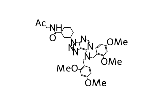 COc1ccc(CN(Cc2ccc(OC)cc2OC)c2ncnc3c2nnn3C2CCCC(C(=O)NCC(C)=O)C2)c(OC)c1